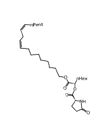 CCCCC/C=C\C/C=C\CCCCCCCCOC(=O)C(CCCCCC)OC(=O)[C@@H]1CCC(=O)N1